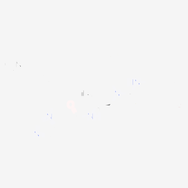 CC[C@H](C)[C@@H](CN(Cc1cccs1)C(=S)Nc1cccc(Br)c1)NC(=O)Cc1cncn1Cc1ccc([N+](=O)[O-])cc1